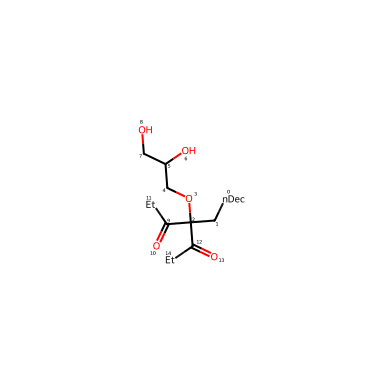 CCCCCCCCCCCC(OCC(O)CO)(C(=O)CC)C(=O)CC